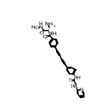 NC[C@H](NC(=O)c1ccc(C#CC#Cc2ccc(NC(=O)CNc3ccccn3)cc2)cc1)C(=O)NO